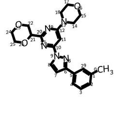 Cc1cccc(-c2ccn(-c3cc(N4CCOCC4)nc(C4COCCO4)n3)n2)c1